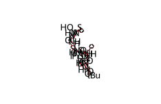 CC(=O)N1CCC[C@H]1C(=O)N[C@@H](CCCNC(=O)OC(C)(C)C)C(=O)NCC(=O)N[C@@H](CCc1ccccc1)C(=O)N[C@@H](CC(C)C)C(=O)NNC(=O)c1ccc(CNC(=O)c2ccc(N/N=C/c3ccccc3S(=O)(=O)O)nc2)cc1